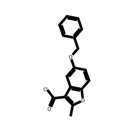 Cc1oc2ccc(OCc3ccccc3)cc2c1C(=O)Cl